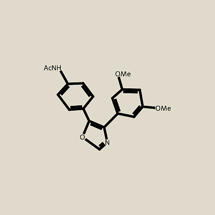 COc1cc(OC)cc(-c2ncoc2-c2ccc(NC(C)=O)cc2)c1